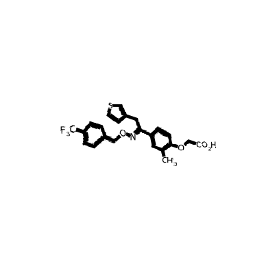 Cc1cc(C(Cc2ccsc2)=NOCc2ccc(C(F)(F)F)cc2)ccc1OCC(=O)O